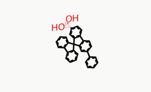 OB(O)c1ccc2c(c1)C1(c3ccccc3-c3ccccc31)c1cc(-c3ccccc3)ccc1-2